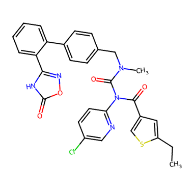 CCc1cc(C(=O)N(C(=O)N(C)Cc2ccc(-c3ccccc3-c3noc(=O)[nH]3)cc2)c2ccc(Cl)cn2)cs1